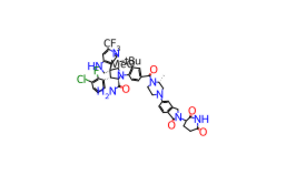 COc1cc(C(=O)N2CCN(c3ccc4c(c3)CN(C3CCC(=O)NC3=O)C4=O)C[C@H]2C)ccc1N1[C@@H](CC(C)(C)C)[C@@]2(CNc3cc(C(F)(F)F)ncc32)[C@@H](c2cccc(Cl)c2F)[C@@H]1C(N)=O